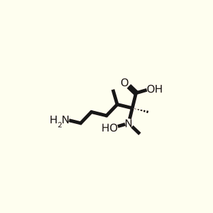 CC(CCCN)[C@@](C)(C(=O)O)N(C)O